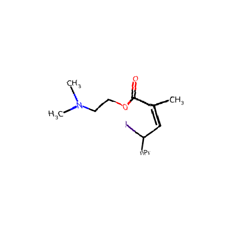 CCCC(I)C=C(C)C(=O)OCCN(C)C